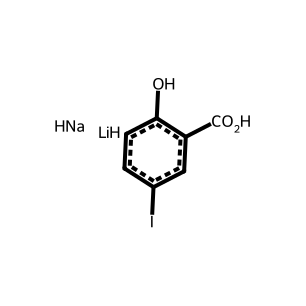 O=C(O)c1cc(I)ccc1O.[LiH].[NaH]